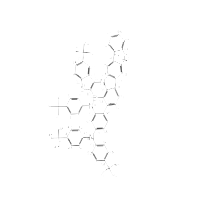 CC(C)(C)c1ccc(N2B3c4sc5ccc(C(C)(C)C)cc5c4-n4c5cc6c(cc5c5ccc(c3c54)-c3ccc(N(c4ccc(C(C)(C)C)cc4)c4ccc(C(C)(C)C)cc4)cc32)oc2ccccc26)cc1